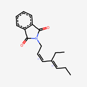 CC/C=C(/C=C\CN1C(=O)c2ccccc2C1=O)CC